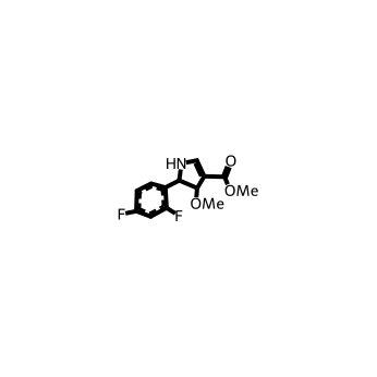 COC(=O)C1=CNC(c2ccc(F)cc2F)C1OC